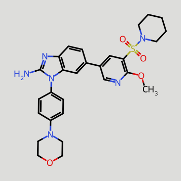 COc1ncc(-c2ccc3nc(N)n(-c4ccc(N5CCOCC5)cc4)c3c2)cc1S(=O)(=O)N1CCCCC1